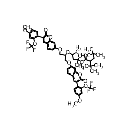 COc1ccc(-c2cc3ccc(OCC(COc4ccc5cc(-c6ccc(OC)cc6OC(F)(F)F)c(=O)oc5c4)OC(C)CC(C)(C)OC(=O)C(CC(C)(C)C)C(C)(C)C)cc3oc2=O)c(OC(F)(F)F)c1